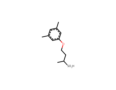 Cc1cc(C)cc(OCCC(C)S(=O)(=O)O)c1